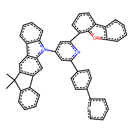 CC1(C)c2ccccc2-c2cc3c(cc21)c1ccccc1n3-c1cc(-c2ccc(-c3ccccc3)cc2)nc(-c2cccc3c2oc2ccccc23)c1